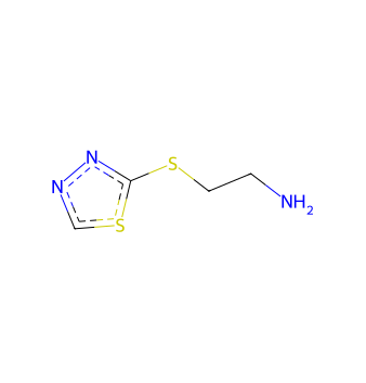 NCCSc1nncs1